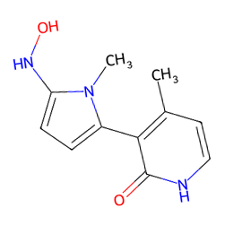 Cc1cc[nH]c(=O)c1-c1ccc(NO)n1C